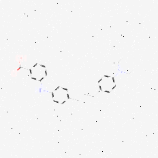 CCN(CC)c1ccc(CCCc2ccc(Nc3cccc(C(=O)O)c3)cc2)cc1